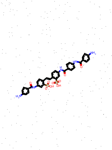 Nc1ccc(C(=O)Nc2ccc(C(=O)Nc3ccc(C=Cc4ccc(NC(=O)c5ccc(N)cc5)cc4S(=O)(=O)O)c(S(=O)(=O)O)c3)cc2)cc1